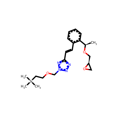 C[C@@H](OC[C@H]1CO1)c1ccccc1/C=C/c1nnn(COCC[Si](C)(C)C)n1